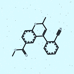 COC(=O)c1ccc2c(c1)C(c1ccccc1C#N)=CC(C)O2